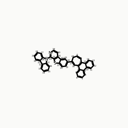 C1=Cc2c(c3ccccc3c3ccccc23)C=C(c2ccc3sc4c(-n5c6ccccc6c6ccccc65)nccc4c3c2)C1